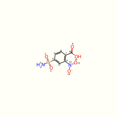 NS(=O)(=O)c1ccc(C(=O)O)c([N+](=O)[O-])c1